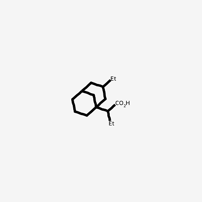 CCC1CC2CCCC(C(CC)C(=O)O)(C1)C2